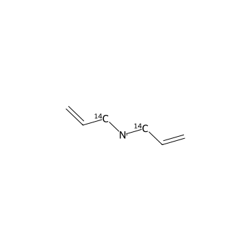 C=C[14CH2][N][14CH2]C=C